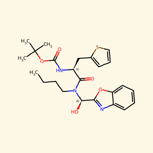 CCCCN(C(=O)[C@H](Cc1cccs1)NC(=O)OC(C)(C)C)[C@H](O)c1nc2ccccc2o1